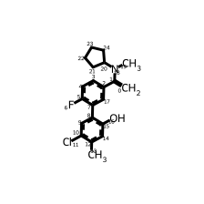 C=C(c1ccc(F)c(-c2cc(Cl)c(C)cc2O)c1)N(C)C1CCCC1